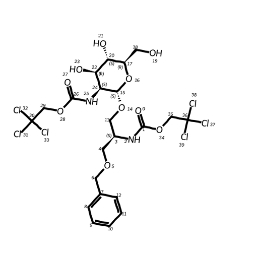 O=C(N[C@@H](COCc1ccccc1)CO[C@H]1O[C@H](CO)[C@@H](O)[C@H](O)[C@@H]1NC(=O)OCC(Cl)(Cl)Cl)OCC(Cl)(Cl)Cl